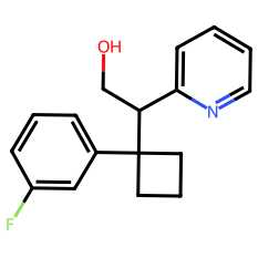 OCC(c1ccccn1)C1(c2cccc(F)c2)CCC1